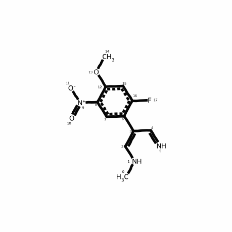 CN/C=C(\C=N)c1cc([N+](=O)[O-])c(OC)cc1F